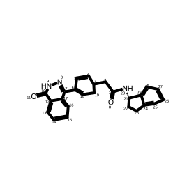 O=C(CC1C=CC(c2n[nH]c(=O)c3ccccc23)=CC1)N[C@H]1CCc2ccccc21